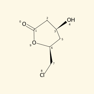 O=C1C[C@@H](O)C[C@@H](CCl)O1